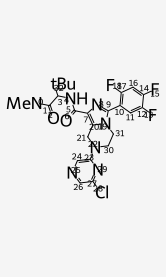 CNC(=O)C(NC(=O)c1nc(-c2cc(F)c(F)cc2F)n2c1CN(c1cncc(Cl)n1)CC2)C(C)(C)C